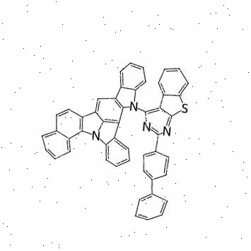 c1ccc(-c2ccc(-c3nc(-n4c5ccccc5c5cc6c7ccc8ccccc8c7n7c8ccccc8c(c54)c67)c4c(n3)sc3ccccc34)cc2)cc1